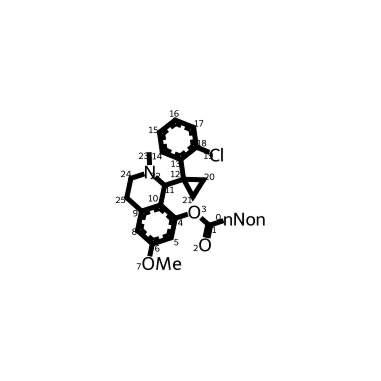 CCCCCCCCCC(=O)Oc1cc(OC)cc2c1C(C1(c3ccccc3Cl)CC1)N(C)CC2